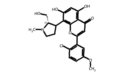 COc1ccc(Cl)c(-c2cc(=O)c3c(O)cc(O)c(C4CCN(C)[C@@H]4CO)c3o2)c1